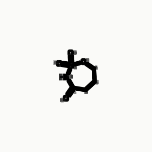 O=C1CCCOS(=O)(=O)N1